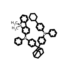 C[Si]1(C)c2ccccc2-c2ccc(N(c3ccccc3)c3ccc(C4(c5ccc(N(c6ccccc6)c6ccc(C7CCCCC7)cc6)cc5)C5CC6CC(C5)CC4C6)cc3)cc21